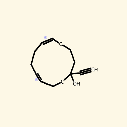 C#CC1(O)CC/C=C\CC/C=C\CCC1